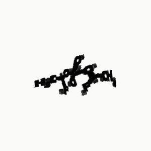 CC(F)OS(=O)(=O)OC(C)F